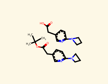 CC(C)(C)OC(=O)Cc1ccc(N2CCC2)nc1.O=C(O)Cc1ccc(N2CCC2)nc1